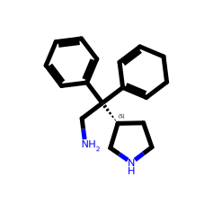 NCC(C1=CCCC=C1)(c1ccccc1)[C@@H]1CCNC1